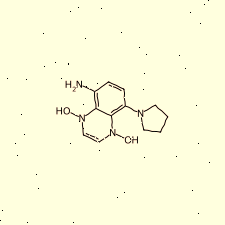 Nc1ccc(N2CCCC2)c2c1N(O)C=CN2O